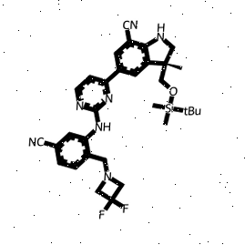 CC(C)(C)[Si](C)(C)OC[C@@]1(C)CNc2c(C#N)cc(-c3ccnc(Nc4cc(C#N)ccc4CN4CC(F)(F)C4)n3)cc21